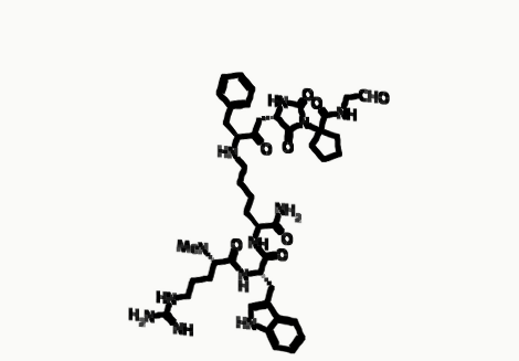 CN[C@@H](CCCNC(=N)N)C(=O)N[C@@H](Cc1c[nH]c2ccccc12)C(=O)N[C@@H](CCCCN[C@@H](Cc1ccccc1)C(=O)C[C@@H]1NC(=O)N(C2(C(=O)NCC=O)CCCC2)C1=O)C(N)=O